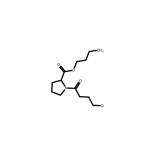 CCCCOC(=O)C1CCCN1C(=O)CCC[O]